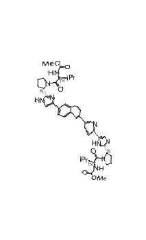 COC(=O)N[C@H](C(=O)N1CCC[C@H]1c1nc(-c2ccc3cc(-c4ccc(-c5cnc([C@@H]6CCCN6C(=O)[C@@H](NC(=O)OC)C(C)C)[nH]5)nc4)ccc3c2)c[nH]1)C(C)C